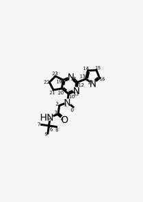 CN(CC(=O)NC(C)(C)C)c1nc(C2=CCC=N2)nc2c1CCC2